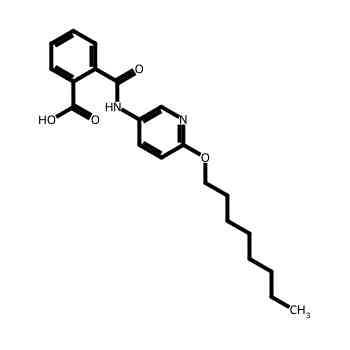 CCCCCCCCOc1ccc(NC(=O)c2ccccc2C(=O)O)cn1